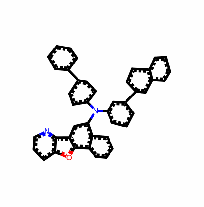 c1ccc(-c2ccc(N(c3cccc(-c4ccc5ccccc5c4)c3)c3cc4c5ncccc5oc4c4ccccc34)cc2)cc1